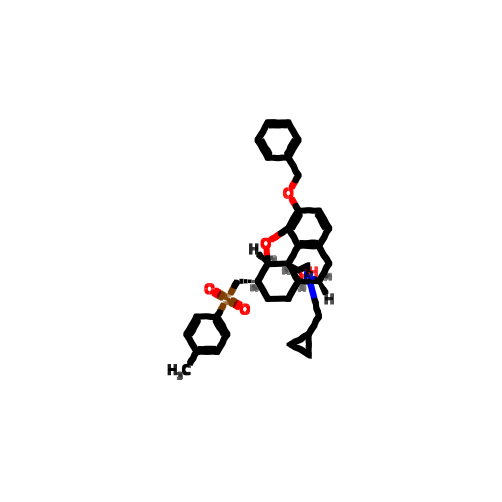 Cc1ccc(S(=O)(=O)C[C@H]2CC[C@@]3(O)[C@H]4Cc5ccc(OCc6ccccc6)c6c5[C@@]3(CCN4CC3CC3)[C@H]2O6)cc1